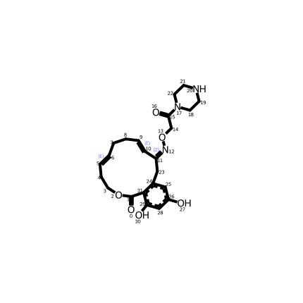 O=C1OCC/C=C/CC/C=C/C(=N\OCC(=O)N2CCNCC2)Cc2cc(O)cc(O)c21